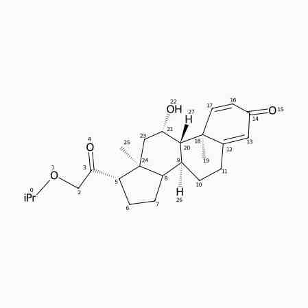 CC(C)OCC(=O)[C@H]1CCC2[C@@H]3CCC4=CC(=O)C=C[C@]4(C)[C@H]3[C@@H](O)C[C@@]21C